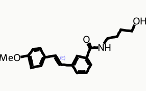 COc1ccc(/C=C/c2cccc(C(=O)NCCCCO)c2)cc1